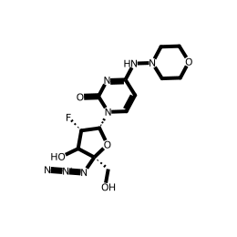 [N-]=[N+]=N[C@]1(CO)O[C@@H](n2ccc(NN3CCOCC3)nc2=O)[C@@H](F)C1O